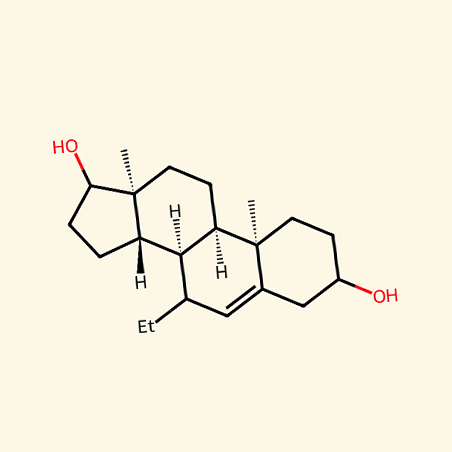 CCC1C=C2CC(O)CC[C@]2(C)[C@@H]2CC[C@]3(C)C(O)CC[C@H]3[C@H]12